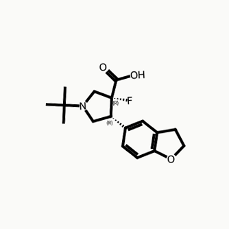 CC(C)(C)N1C[C@@H](c2ccc3c(c2)CCO3)[C@](F)(C(=O)O)C1